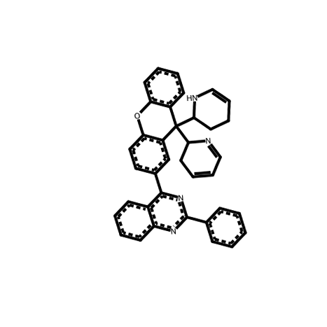 C1=CCC(C2(C3CCC=CN3)c3ccccc3Oc3ccc(-c4nc(-c5ccccc5)nc5ccccc45)cc32)N=C1